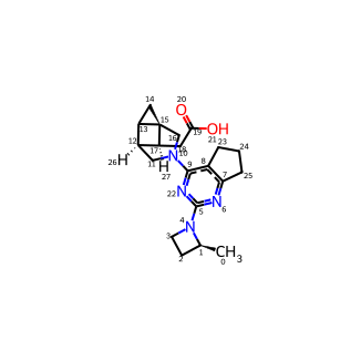 C[C@H]1CCN1c1nc2c(c(N3C[C@H]4C5C[C@@]5(C3)[C@H]4CC(=O)O)n1)CCC2